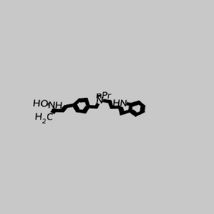 C=C(/C=C/c1ccc(CN(CCC)CCc2cc3ccccc3[nH]2)cc1)NO